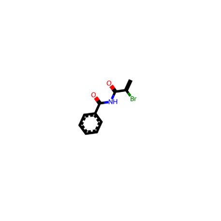 C=C(Br)C(=O)NC(=O)c1ccccc1